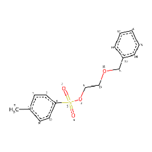 Cc1ccc(S(=O)(=O)OCCOCc2ccccc2)cc1